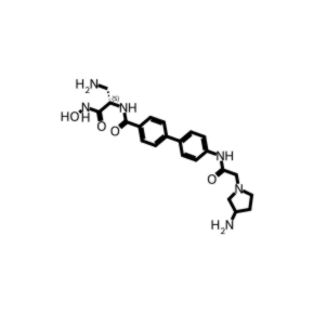 NC[C@H](NC(=O)c1ccc(-c2ccc(NC(=O)CN3CCC(N)C3)cc2)cc1)C(=O)NO